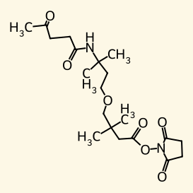 CC(=O)CCC(=O)NC(C)(C)CCOCC(C)(C)CC(=O)ON1C(=O)CCC1=O